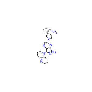 N[C@@H]1CCC[C@@]12CCN(c1cnc3c(N4CCCc5ncccc54)n[nH]c3n1)C2